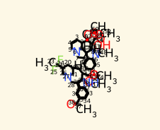 CC[C@]12C=CCN3CC[C@@]4(C5=CC([C@@]6(C(=O)OC)C[C@H]7CC(C(C)(F)F)CN(Cc8c6[nH]c6ccc(C(C)=O)cc86)C7)C(OC)C=C5N(C)[C@H]4[C@@](O)(C(=O)OC)[C@@H]1OC(C)=O)[C@@H]32